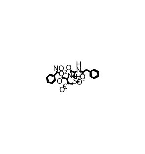 O=C=C1C[S+]([O-])[C@H]2C(NC(=O)Cc3ccccc3)C(=O)N2C1C(=O)OC(c1ccccc1)[N+](=O)[O-]